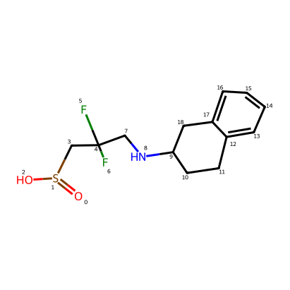 O=S(O)CC(F)(F)CNC1CCc2ccccc2C1